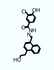 O=C(N/N=C/c1ccc(CCO)c2ccccc12)c1ccc(O)c(Cl)c1